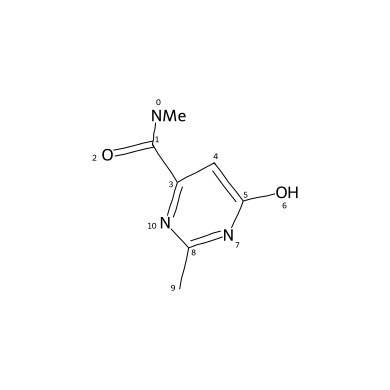 CNC(=O)c1cc(O)nc(C)n1